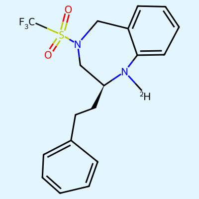 [2H]N1c2ccccc2CN(S(=O)(=O)C(F)(F)F)C[C@@H]1CCc1ccccc1